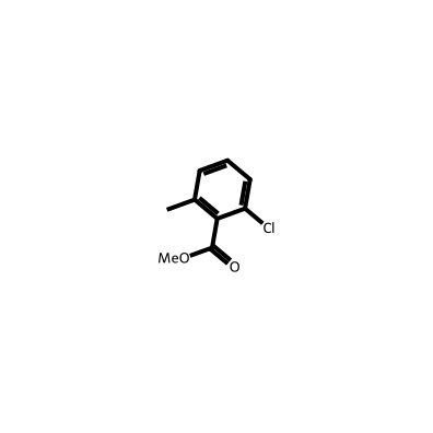 [CH2]OC(=O)c1c(C)cccc1Cl